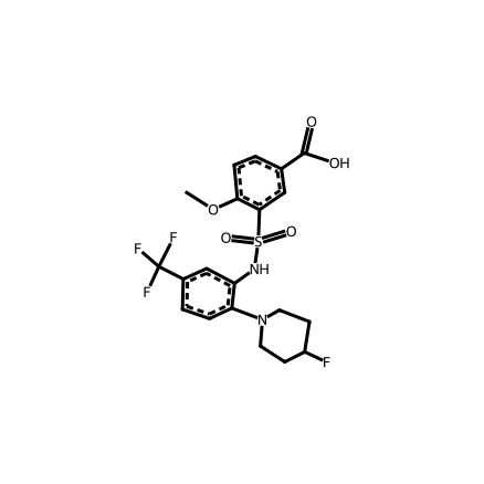 COc1ccc(C(=O)O)cc1S(=O)(=O)Nc1cc(C(F)(F)F)ccc1N1CCC(F)CC1